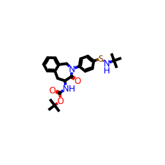 CC(C)(C)NSc1ccc(N2Cc3ccccc3CC(NC(=O)OC(C)(C)C)C2=O)cc1